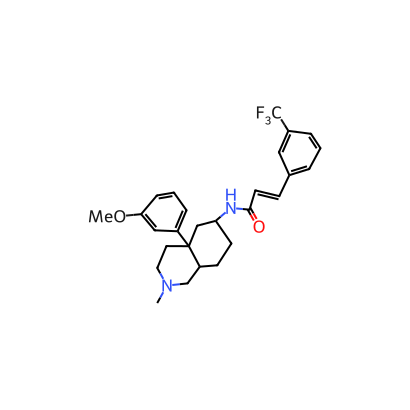 COc1cccc(C23CCN(C)CC2CCC(NC(=O)/C=C/c2cccc(C(F)(F)F)c2)C3)c1